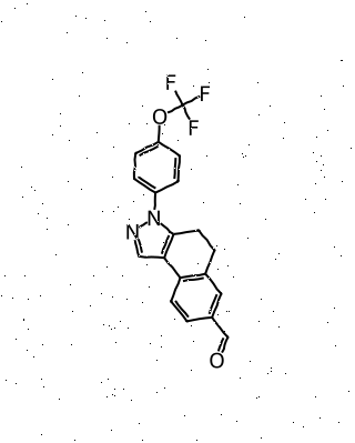 O=Cc1ccc2c(c1)CCc1c-2cnn1-c1ccc(OC(F)(F)F)cc1